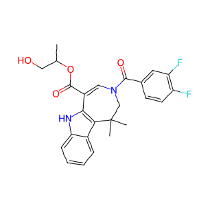 CC(CO)OC(=O)C1=CN(C(=O)c2ccc(F)c(F)c2)CC(C)(C)c2c1[nH]c1ccccc21